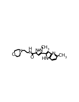 Cc1ccc2[nH]c(-c3cc(C(=O)NCCN4CCOCC4)nn3C)cc2n1